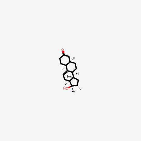 CC(=O)[C@@]1(O)[C@@H](C)C[C@H]2[C@@H]3CC[C@@H]4CC(=O)CC[C@]4(C)C3=CC[C@@]21C